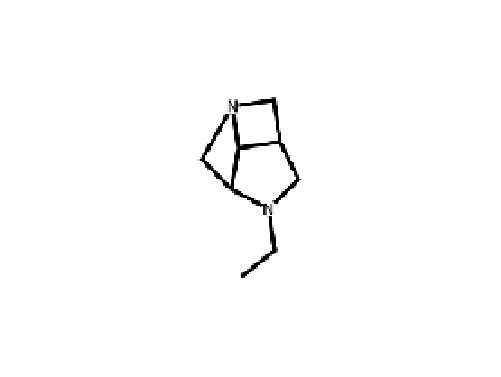 CCN1CC2CN3CC1C23